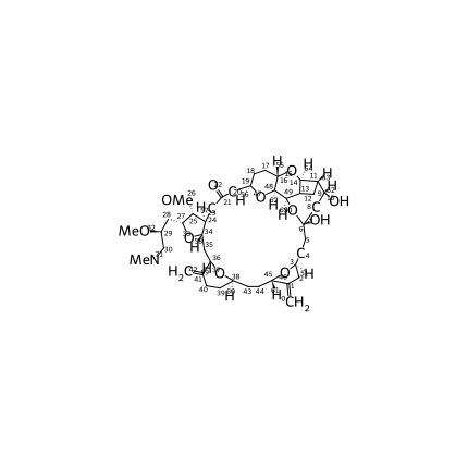 C=C1C[C@@H]2CC[C@@]3(O)C[C@@H](O)[C@@H]4CC5[C@H]4O[C@H]4CC[C@H](CC(=O)C[C@@H]6[C@@H](OC)[C@@H](C[C@@H](CNC)OC)O[C@H]6C[C@H]6O[C@H](CCC6=C)CC[C@@H]1O2)O[C@@H]4[C@@H]5O3